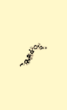 C#CCOc1ccc(-c2cnc3c(Nc4ccc(C(=O)N5CCN(C(=O)[C@@H]6C[C@@H](O)CN6)CC5)c(C)c4)nccn23)c(F)c1F